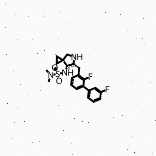 CN(C)S(=O)(=O)N[C@@H]1[C@H](Cc2cccc(-c3cccc(F)c3)c2F)NCC12CC2